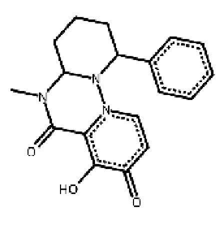 CN1C(=O)c2c(O)c(=O)ccn2N2C(c3ccccc3)CCCC12